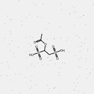 CC(=O)OC(CS(=O)(=O)O)S(=O)(=O)O